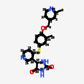 Cc1cc(COc2ccc(Sc3ccncc3C3NC(=O)NC3=O)cc2C)ccn1